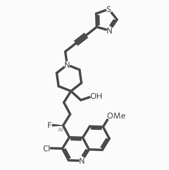 COc1ccc2ncc(Cl)c([C@@H](F)CCC3(CO)CCN(CC#Cc4cscn4)CC3)c2c1